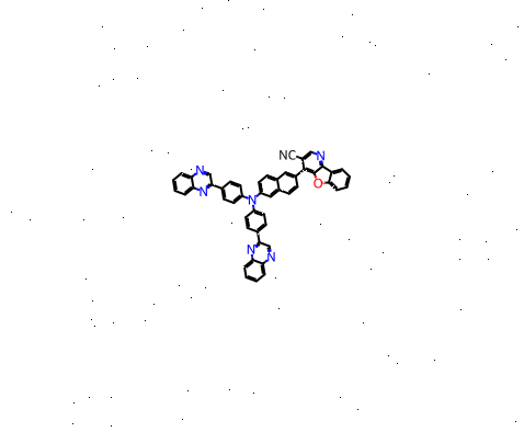 N#Cc1cnc2c(oc3ccccc32)c1-c1ccc2cc(N(c3ccc(-c4cnc5ccccc5n4)cc3)c3ccc(-c4cnc5ccccc5n4)cc3)ccc2c1